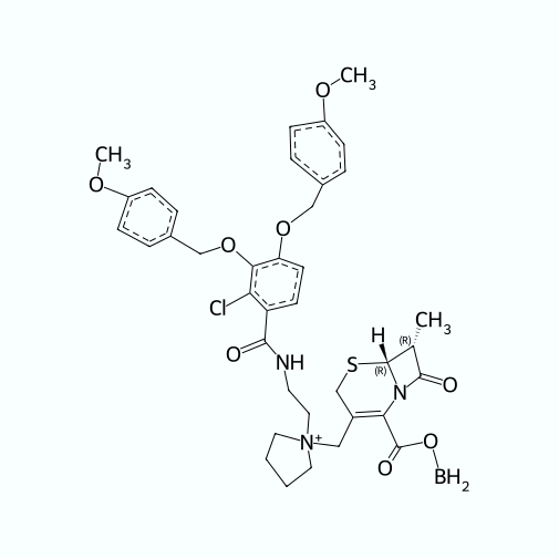 BOC(=O)C1=C(C[N+]2(CCNC(=O)c3ccc(OCc4ccc(OC)cc4)c(OCc4ccc(OC)cc4)c3Cl)CCCC2)CS[C@@H]2[C@H](C)C(=O)N12